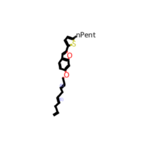 C=CC/C=C/C/C=C/COc1ccc2cc(-c3ccc(CCCCC)s3)oc2c1